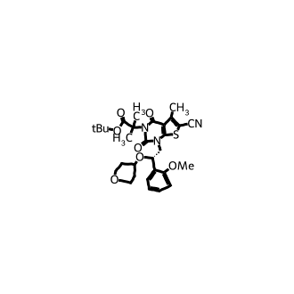 COc1ccccc1[C@@H](Cn1c(=O)n(C(C)(C)C(=O)OC(C)(C)C)c(=O)c2c(C)c(C#N)sc21)OC1CCOCC1